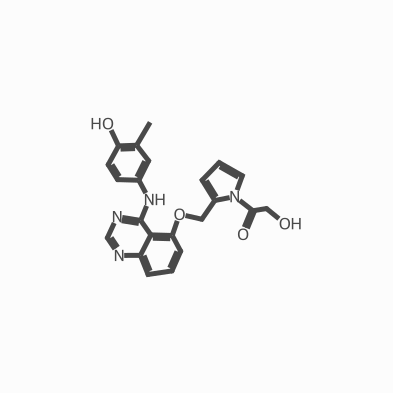 Cc1cc(Nc2ncnc3cccc(OCc4cccn4C(=O)CO)c23)ccc1O